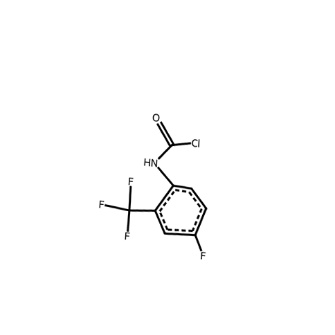 O=C(Cl)Nc1ccc(F)cc1C(F)(F)F